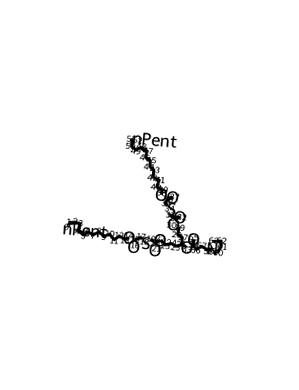 CCCCC/C=C\C/C=C\CCCCCCCCOC(=O)CSCC(=O)OCCCC(CCCOC(=O)CSCC(=O)OCCCCCCCC/C=C\C/C=C\CCCCC)OC(=O)CCCN1CCCC1